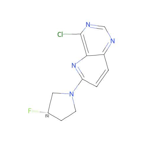 F[C@H]1CCN(c2ccc3ncnc(Cl)c3n2)C1